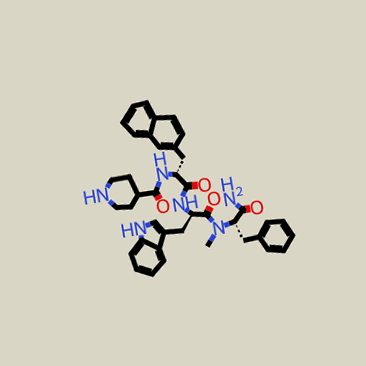 CN(C(=O)[C@@H](Cc1c[nH]c2ccccc12)NC(=O)[C@@H](Cc1ccc2ccccc2c1)NC(=O)C1CCNCC1)[C@@H](Cc1ccccc1)C(N)=O